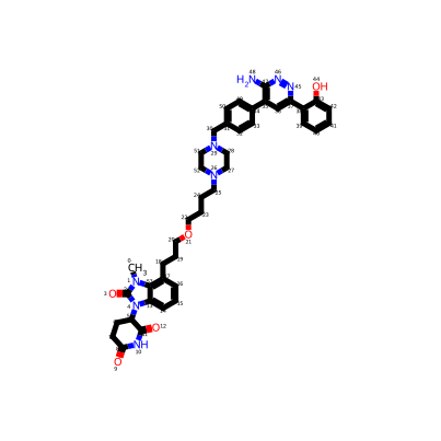 Cn1c(=O)n(C2CCC(=O)NC2=O)c2cccc(CCCOCCCCN3CCN(Cc4ccc(-c5cc(-c6ccccc6O)nnc5N)cc4)CC3)c21